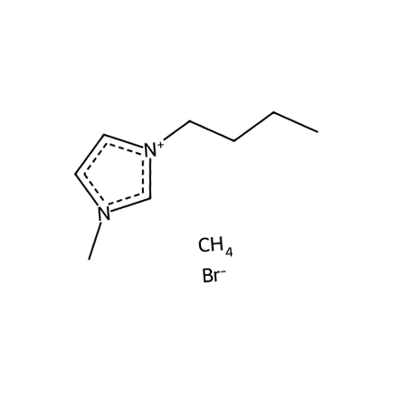 C.CCCC[n+]1ccn(C)c1.[Br-]